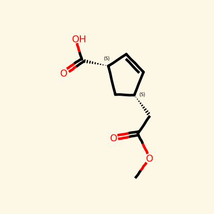 COC(=O)C[C@H]1C=C[C@@H](C(=O)O)C1